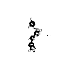 CN1Cc2cc(-c3ccc(-c4cnc(Cl)c(NSc5ccc(F)cc5F)c4)s3)ccc2C1=O